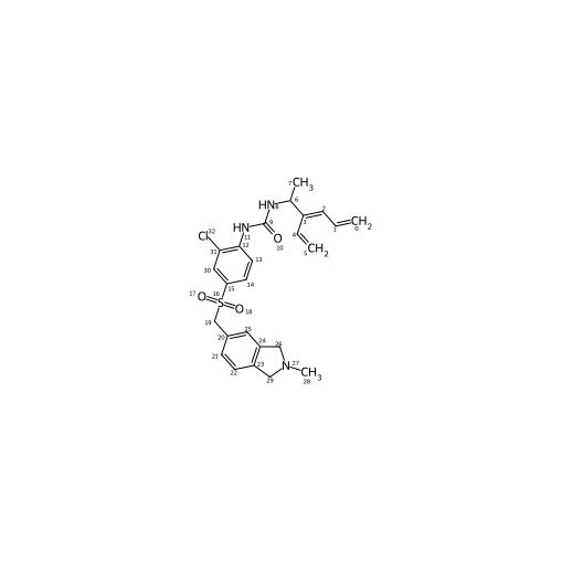 C=C/C=C(\C=C)C(C)NC(=O)Nc1ccc(S(=O)(=O)Cc2ccc3c(c2)CN(C)C3)cc1Cl